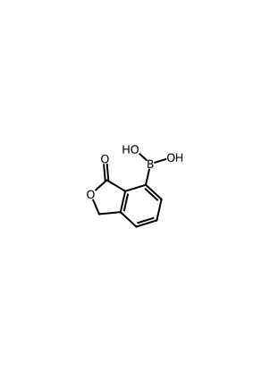 O=C1OCc2cccc(B(O)O)c21